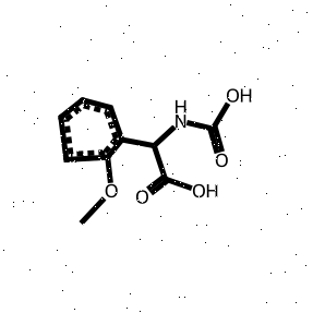 COc1ccccc1C(NC(=O)O)C(=O)O